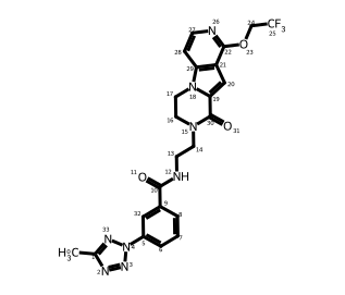 Cc1nnn(-c2cccc(C(=O)NCCN3CCn4c(cc5c(OCC(F)(F)F)nccc54)C3=O)c2)n1